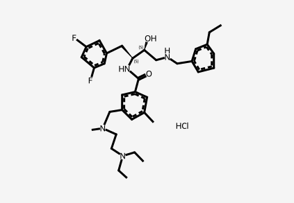 CCc1cccc(CNC[C@H](O)[C@H](Cc2cc(F)cc(F)c2)NC(=O)c2cc(C)cc(CN(C)CCN(CC)CC)c2)c1.Cl